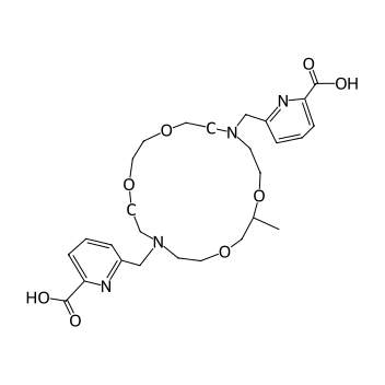 CC1COCCN(Cc2cccc(C(=O)O)n2)CCOCCOCCN(Cc2cccc(C(=O)O)n2)CCO1